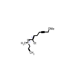 C=CC/[PH](C)=C\C(=C\CCC#CCOC)CC